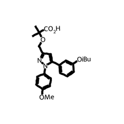 COc1ccc(-n2nc(COC(C)(C)C(=O)O)cc2-c2cccc(OCC(C)C)c2)cc1